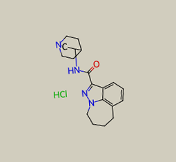 Cl.O=C(NC1CN2CCC1CC2)c1nn2c3c(cccc13)CCCC2